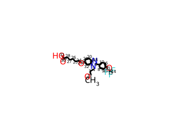 COCCCn1c(-c2ccc(OC(F)(F)F)cc2)nc2ccc(OCCCCCC(=O)O)cc21